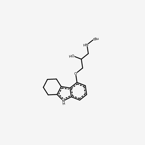 CC(C)(C)NCC(O)COc1cccc2[nH]c3c(c12)CCCC3